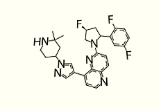 CC1(C)CC(n2cc(-c3ccnc4ccc(N5C[C@@H](F)CC5c5cc(F)ccc5F)nc34)cn2)CCN1